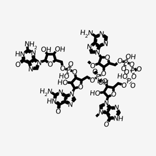 COC1C(OP(=O)(O)OCC2OC(n3cnc4c(=O)[nH]c(N)nc43)C(O)C2OP(=O)(O)OCC2OC(n3cnc4c(=O)[nH]c(N)nc43)C(O)C2O)C(COP(=O)(O)OP(=O)([O-])OP(=O)(O)OCC2OC(n3c[n+](C)c4c(=O)[nH]cnc43)C(O)C2O)OC1n1cnc2c(N)ncnc21